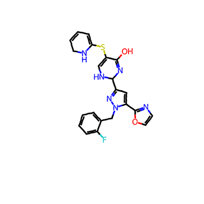 OC1=NC(c2cc(-c3ncco3)n(Cc3ccccc3F)n2)NC=C1SC1=CC=CCN1